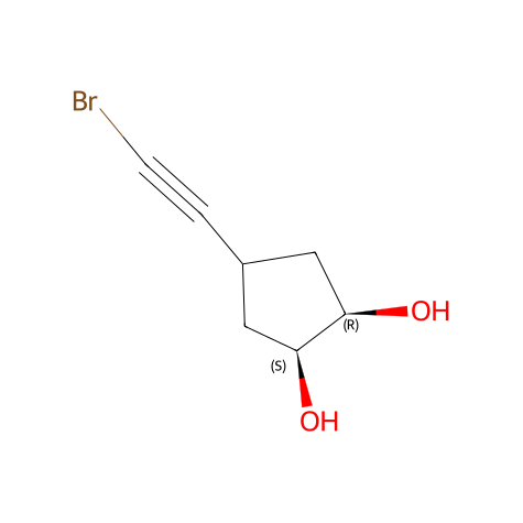 O[C@@H]1CC(C#CBr)C[C@@H]1O